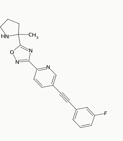 CC1(c2nc(-c3ccc(C#Cc4cccc(F)c4)cn3)no2)CCCN1